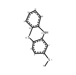 CSc1ccc2c(c1)Nc1ccccc1S2